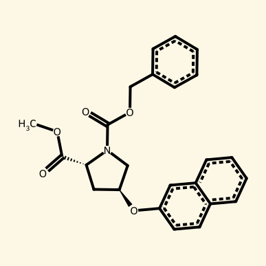 COC(=O)[C@H]1C[C@H](Oc2ccc3ccccc3c2)CN1C(=O)OCc1ccccc1